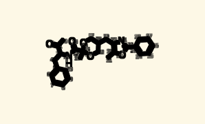 CC(=O)C(Cc1ccccc1)NC(=O)C1(C)OCC(Cc2nc(-c3ccccc3)oc2C)CO1